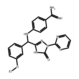 CCOc1cccc(C(Nc2ccc(C(=N)N)cc2)c2nn(-c3ncccn3)c(=O)[nH]2)c1